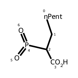 CCCCCCC(C(=O)O)P(=O)=O